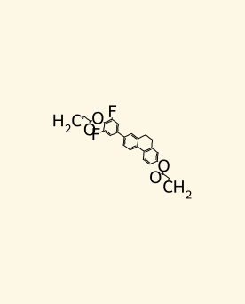 C=CC(=O)Oc1ccc2c(c1)CCc1cc(-c3cc(F)c(OC(=O)C=C)c(F)c3)ccc1-2